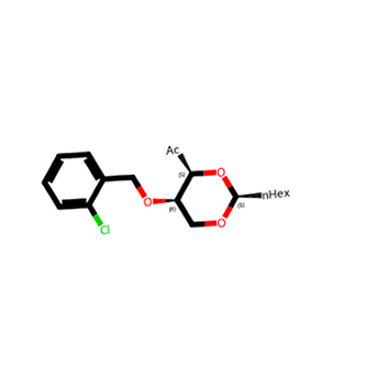 CCCCCC[C@H]1OC[C@@H](OCc2ccccc2Cl)[C@@H](C(C)=O)O1